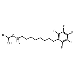 OC(O)O[SiH2]CCCCCCCCc1c(F)c(F)c(F)c(F)c1F